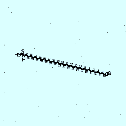 O=C=NCCCCCCCCCCCCCCCCCCCCCCCCCCCCCCCCCCCNC(=S)S